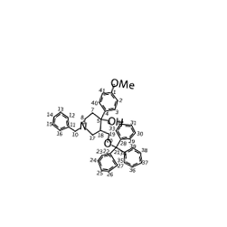 COc1ccc(C2(O)CCN(Cc3ccccc3)CC2COC(c2ccccc2)(c2ccccc2)c2ccccc2)cc1